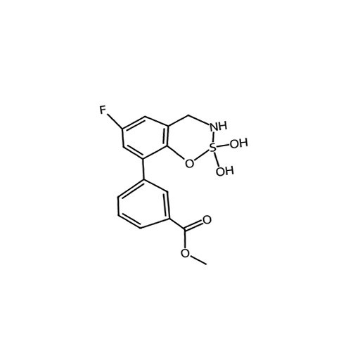 COC(=O)c1cccc(-c2cc(F)cc3c2OS(O)(O)NC3)c1